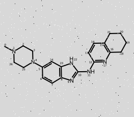 CN1CCN(c2ccc3nc(Nc4ccc5c(n4)CCCC5)[nH]c3c2)CC1